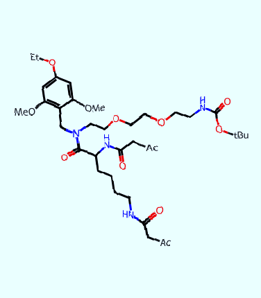 CCOc1cc(OC)c(CN(CCOCCOCCNC(=O)OC(C)(C)C)C(=O)C(CCCCNC(=O)CC(C)=O)NC(=O)CC(C)=O)c(OC)c1